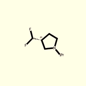 CC(C)N1CC[C@@H](C(F)F)C1